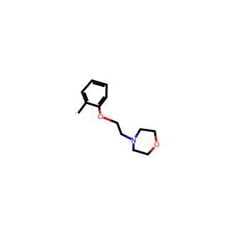 [CH2]c1ccccc1OCCN1CCOCC1